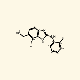 CC(=O)Cc1ccc2nc(Nc3ccccc3C)oc2c1F